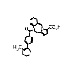 CC1=C(c2ccc(C(=O)N3Cc4ccc(C(=O)O)n4Cc4ccccc43)cc2)CCCC1